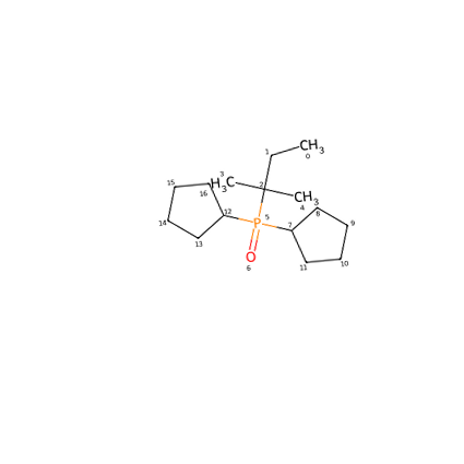 CCC(C)(C)P(=O)(C1CCCC1)C1CCCC1